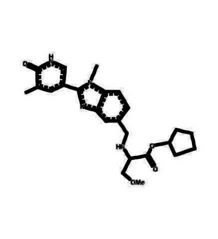 COCC(NCc1ccc2c(c1)nc(-c1c[nH]c(=O)c(C)c1)n2C)C(=O)OC1CCCC1